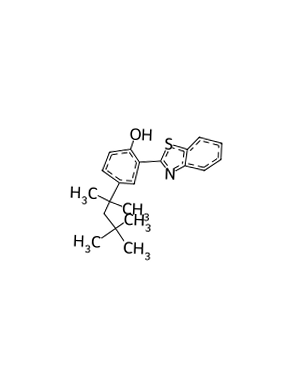 CC(C)(C)CC(C)(C)c1ccc(O)c(-c2nc3ccccc3s2)c1